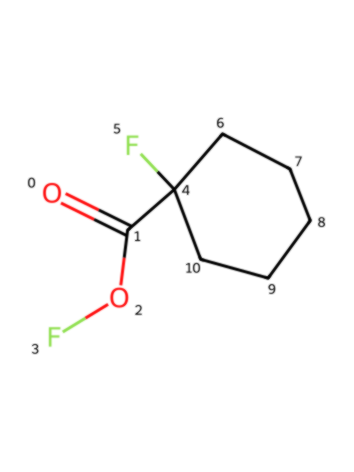 O=C(OF)C1(F)CCCCC1